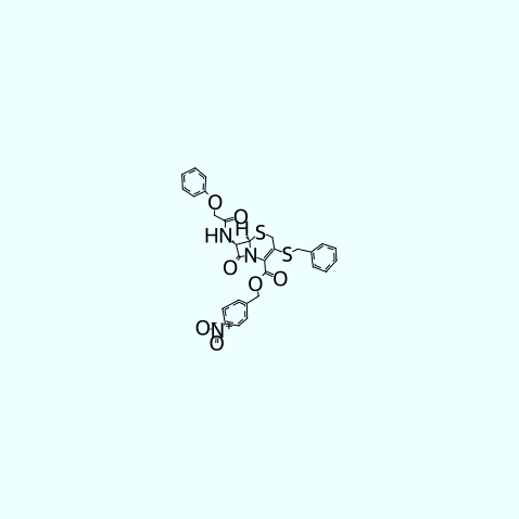 O=C(COc1ccccc1)N[C@@H]1C(=O)N2C(C(=O)OCc3ccc([N+](=O)[O-])cc3)=C(SCc3ccccc3)CS[C@@H]12